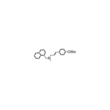 COc1ccc(/C=C/CN(C)Cc2cccc3ccccc23)cc1